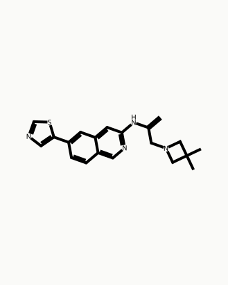 C=C(CN1CC(C)(C)C1)Nc1cc2cc(-c3cncs3)ccc2cn1